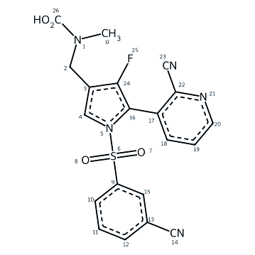 CN(Cc1cn(S(=O)(=O)c2cccc(C#N)c2)c(-c2cccnc2C#N)c1F)C(=O)O